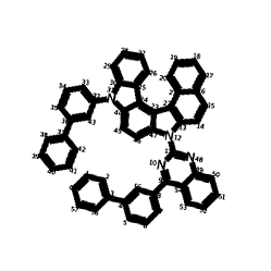 c1ccc(-c2cccc(-c3nc(-n4c5ccc6ccccc6c5c5c6c7ccccc7n(-c7cccc(-c8ccccc8)c7)c6ccc54)nc4ccccc34)c2)cc1